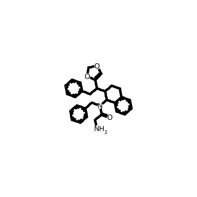 NCC(=O)N(Cc1ccccc1)C1c2ccccc2CCC1C(Cc1ccccc1)C1=COCO1